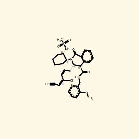 C#C/C=C(Cl)\C=C/C[C@H]1[C@H](C(=O)NCc2ncccc2OC)c2ccccc2C(=O)N1[C@H]1CCCC[C@@H]1NS(C)(=O)=O